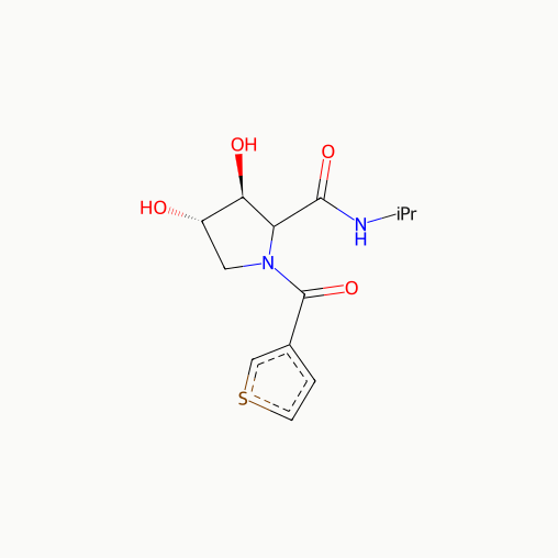 CC(C)NC(=O)C1[C@H](O)[C@@H](O)CN1C(=O)c1ccsc1